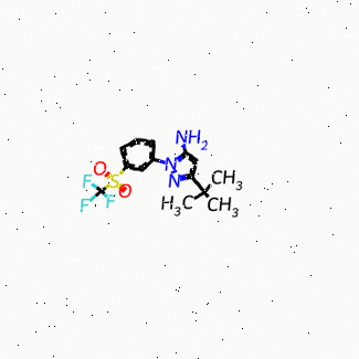 CC(C)(C)c1cc(N)n(-c2cccc(S(=O)(=O)C(F)(F)F)c2)n1